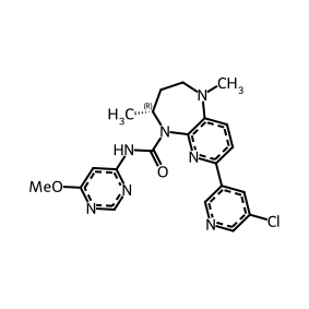 COc1cc(NC(=O)N2c3nc(-c4cncc(Cl)c4)ccc3N(C)CC[C@H]2C)ncn1